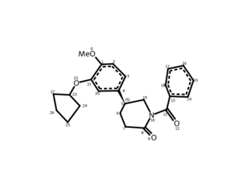 COc1ccc([C@@H]2CCC(=O)N(C(=O)c3ccccc3)C2)cc1OC1CCCC1